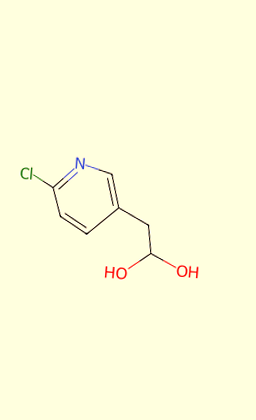 OC(O)Cc1ccc(Cl)nc1